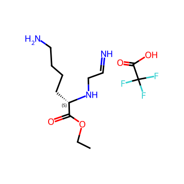 CCOC(=O)[C@H](CCCCN)NCC=N.O=C(O)C(F)(F)F